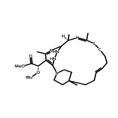 COC(=O)[C@@H](OC(C)(C)C)C1=C2NNC(N=C1C)[C@@H](C)/N=C(/C)SCCC/C=C/CCC1(C)CCN2CC1